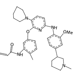 C=CC(=O)Nc1cc(Oc2nc(Nc3ccc(C4CCCN(C)C4)cc3OC)ccc2N2CCCCC2)ccc1C